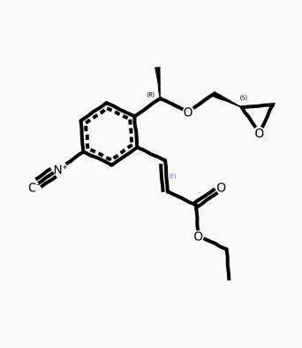 [C-]#[N+]c1ccc([C@@H](C)OC[C@H]2CO2)c(/C=C/C(=O)OCC)c1